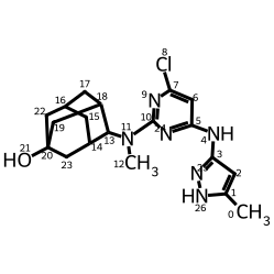 Cc1cc(Nc2cc(Cl)nc(N(C)C3C4CC5CC3CC(O)(C5)C4)n2)n[nH]1